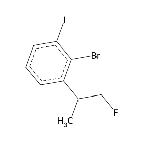 C[C](CF)c1cccc(I)c1Br